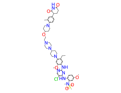 CCc1cc(Nc2ncc(Cl)c(Nc3ccc(OC)cc3N(C)S(C)(=O)=O)n2)c(OC)cc1N1CCC(N2CCN(CCOC3CCN(c4ccc(C5CCC(=O)NC5=O)cc4C)CC3)CC2)CC1